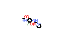 COc1cc(NC(=O)C[n+]2ccccc2)c(O)cc1NC(C)=O.[Cl-]